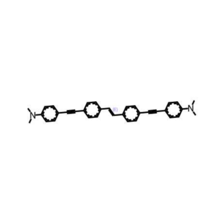 CN(C)c1ccc(C#Cc2ccc(/C=C/c3ccc(C#Cc4ccc(N(C)C)cc4)cc3)cc2)cc1